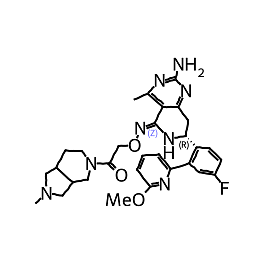 COc1cccc(-c2cc(F)ccc2[C@H]2Cc3nc(N)nc(C)c3/C(=N/OCC(=O)N3CCC4CN(C)CC4C3)N2)n1